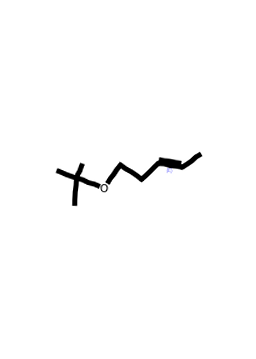 C/C=C/CCOC(C)(C)C